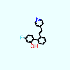 Oc1cc(F)ccc1-c1ccccc1C=Cc1ccncc1